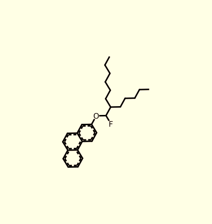 CCCCCCC(CCCCC)C(F)Oc1ccc2c(ccc3ccccc32)c1